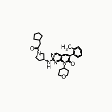 Cc1ccccc1-c1cc2cnc(N[C@H]3CCN(C(=O)CC4CCCC4)C3)nc2n(C2CCOCC2)c1=O